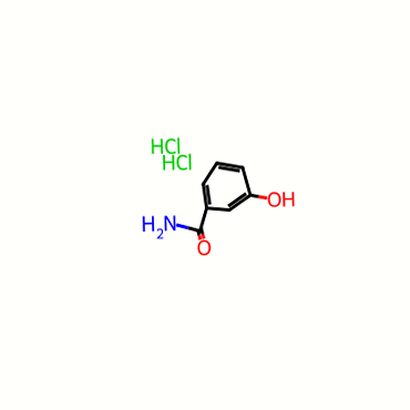 Cl.Cl.NC(=O)c1cccc(O)c1